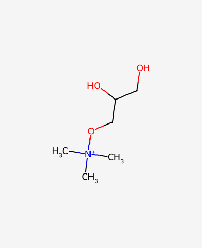 C[N+](C)(C)OCC(O)CO